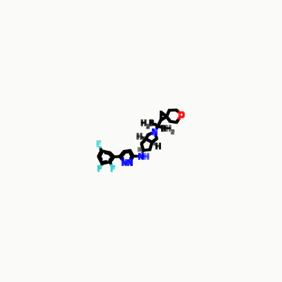 BC(B)(C1CC12CCOCC2)N1C[C@H]2C[C@H](Nc3ccc(-c4cc(F)cc(F)c4F)nn3)C[C@H]2C1